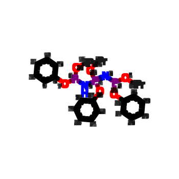 CC(C)OP(N=P(NP(Oc1ccccc1)OC(C)C)(Oc1ccccc1)OC(C)C)Oc1ccccc1